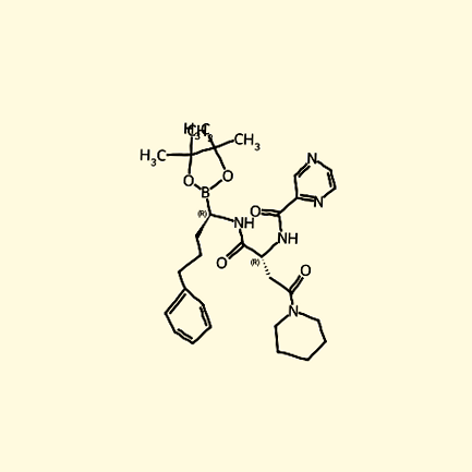 CC1(C)OB([C@H](CCCc2ccccc2)NC(=O)[C@@H](CC(=O)N2CCCCC2)NC(=O)c2cnccn2)OC1(C)C